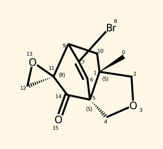 C[C@@]12COC[C@]13C=C(Br)C(C2)[C@@]1(CO1)C3=O